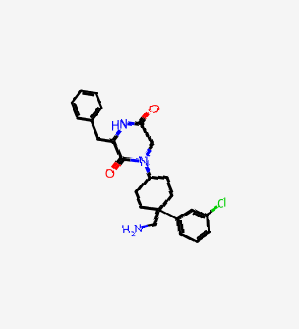 NCC1(c2cccc(Cl)c2)CCC(N2CC(=O)NC(Cc3ccccc3)C2=O)CC1